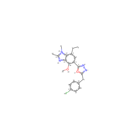 CCc1cc(-c2nnc(Cc3ccc(F)cc3)o2)c(OC)c2nc(C)n(C)c12